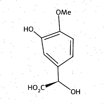 COc1ccc([C@@H](O)C(=O)O)cc1O